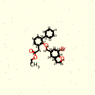 CCOC(=O)Cc1cccc(-c2ccccc2)c1OCc1cc(Br)c2occc2c1